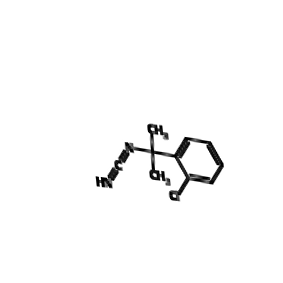 CC(C)(N=C=N)c1ccccc1Cl